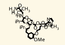 COCCCOC1=C(OC)C=CC(C[C@@H](C[C@H]2[C@H](C[C@H](C(=O)NCC(C)(C)C(N)=O)C(C)C)OCN2C(=O)OCOC(=O)c2nccn2C)C(C)C)C1